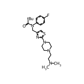 CN(C)CCN1CCN(c2nc(CN(C(=O)C(C)(C)C)c3ccc(F)cc3)cs2)CC1